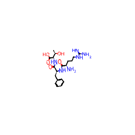 C[C@@H](O)[C@H](NC(=O)[C@H](Cc1ccccc1)NC(=O)[C@@H](N)CCCNC(=N)N)C(=O)O